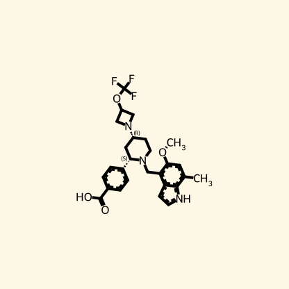 COc1cc(C)c2[nH]ccc2c1CN1CC[C@@H](N2CC(OC(F)(F)F)C2)C[C@H]1c1ccc(C(=O)O)cc1